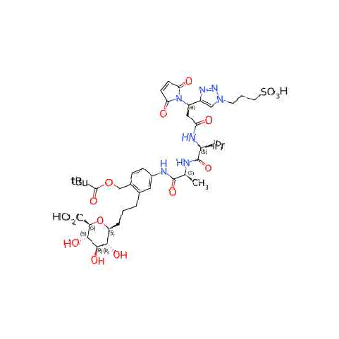 CC(C)[C@H](NC(=O)C[C@H](c1cn(CCCS(=O)(=O)O)nn1)N1C(=O)C=CC1=O)C(=O)N[C@@H](C)C(=O)Nc1ccc(COC(=O)C(C)(C)C)c(CCC[C@@H]2O[C@H](C(=O)O)[C@@H](O)[C@H](O)[C@H]2O)c1